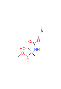 C=CCOC(=O)N[C@@](C)(CO)C(=O)OC